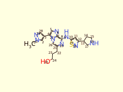 Cn1cc(-c2cnc3c(Nc4cc(C5CCNC5)ns4)nc(CCCO)cn23)cn1